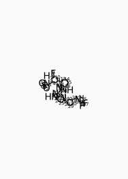 CS(=O)(=O)NCc1cc(F)cc(C2=CC=C=Cc3[nH]c(-c4n[nH]c5ccc(-c6cccc(CN7CCC(F)(F)C7)c6)nc45)nc32)c1